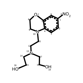 O=[N+]([O-])c1ccc2c(c1)OCCN2CCN(CCO)CCO